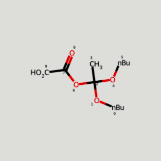 CCCCOC(C)(OCCCC)OC(=O)C(=O)O